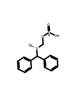 O=[PH](O)OC[S@@+]([O-])C(c1ccccc1)c1ccccc1